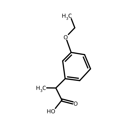 CCOc1cccc(C(C)C(=O)O)c1